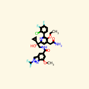 CCOc1c(CC(N)=O)cc([C@@](O)(CNC(=O)c2cc(OC)c3nn(C(F)F)cc3c2)C2CC2)nc1-c1ccc(F)c(F)c1Cl